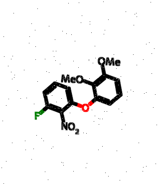 COc1cccc(Oc2cccc(F)c2[N+](=O)[O-])c1OC